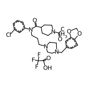 CC(=O)N1CCC(C(=O)N(CCCN2CCN(Cc3ccc4c(c3)OCO4)CC2)c2cccc(Cl)c2)CC1.O=C(O)C(F)(F)F